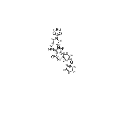 CC(C)(C)OC(=O)N1CC2CNc3c(C(N)=O)c(-c4ccc(Oc5ccccc5)cc4)nn3C2C1